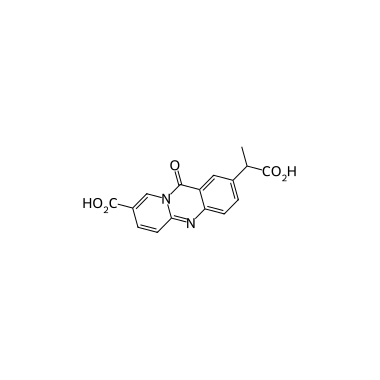 CC(C(=O)O)c1ccc2nc3ccc(C(=O)O)cn3c(=O)c2c1